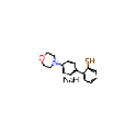 Sc1ccccc1-c1ccc(N2CCOCC2)cc1.[NaH]